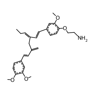 C=C(/C=C/c1ccc(OC)c(OC)c1)CC(/C=C/c1ccc(OCCN)c(OC)c1)=C\CC